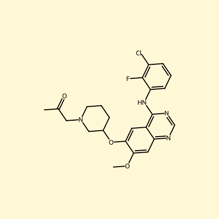 COc1cc2ncnc(Nc3cccc(Cl)c3F)c2cc1OC1CCCN(CC(C)=O)C1